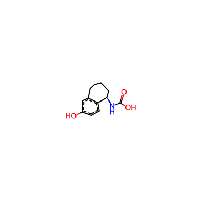 O=C(O)N[C@@H]1CCCCc2cc(O)ccc21